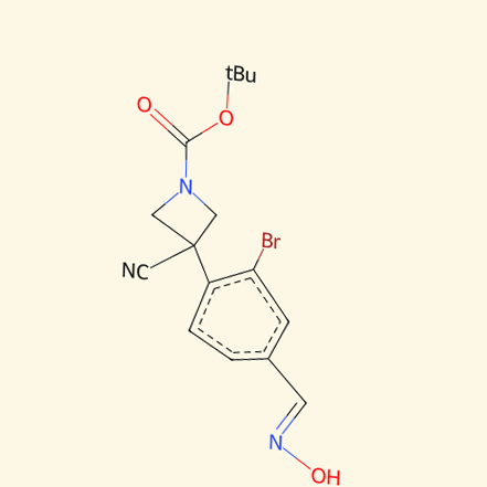 CC(C)(C)OC(=O)N1CC(C#N)(c2ccc(/C=N/O)cc2Br)C1